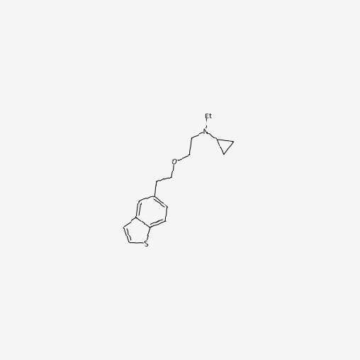 CCN(CCOCCc1ccc2sccc2c1)C1CC1